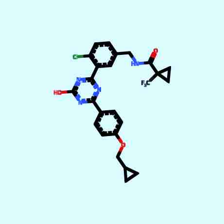 O=C(NCc1ccc(Cl)c(-c2nc(O)nc(-c3ccc(OCC4CC4)cc3)n2)c1)C1(C(F)(F)F)CC1